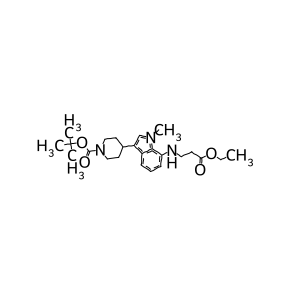 CCOC(=O)CCNc1cccc2c(C3CCN(C(=O)OC(C)(C)C)CC3)cn(C)c12